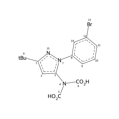 CC(C)(C)c1cc(N(C(=O)O)C(=O)O)n(-c2cccc(Br)c2)n1